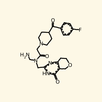 NCN(Cc1nc2c(c(=O)[nH]1)COCC2)C(=O)CN1CCC(C(=O)c2ccc(F)cc2)CC1